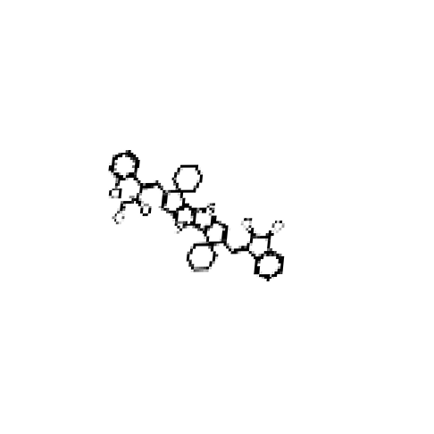 Cc1ccccc1/C(=C/C1=Cc2sc3c4c(sc3c2C12CCCCC2)C=C(/C=C1\C(=O)C(=O)c2ccccc21)C41CCCCC1)C(=O)C=O